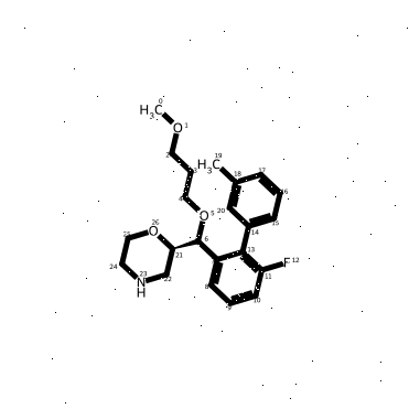 COCCCOC(c1cccc(F)c1-c1cccc(C)c1)[C@H]1CNCCO1